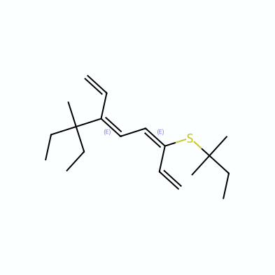 C=C/C(=C\C=C(/C=C)C(C)(CC)CC)SC(C)(C)CC